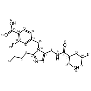 CCCCc1ncc(CNC(=O)C(CS)CC(C)C)n1Cc1ccc(C(=O)O)c(F)c1